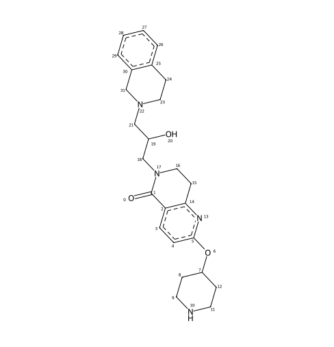 O=C1c2ccc(OC3CCNCC3)nc2CCN1CC(O)CN1CCc2ccccc2C1